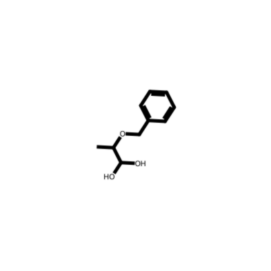 CC(OCc1ccccc1)C(O)O